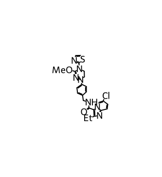 CCc1nc2ccc(Cl)cn2c1C(=O)NCc1ccc(N2CCN(c3nccs3)C(OC)=N2)cc1